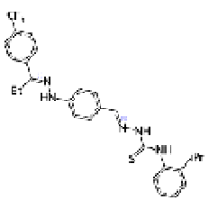 CC/C(=N\Nc1ccc(/C=N/NC(=S)Nc2ccccc2C(C)C)cc1)c1ccc(C(F)(F)F)cc1